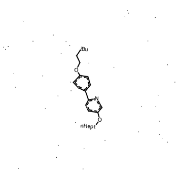 CCCCCCCOc1ccc(-c2ccc(OCCC(C)CC)cc2)nc1